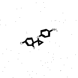 Nc1ccc(OC2(c3ccc(Cl)cc3F)CC2)cc1